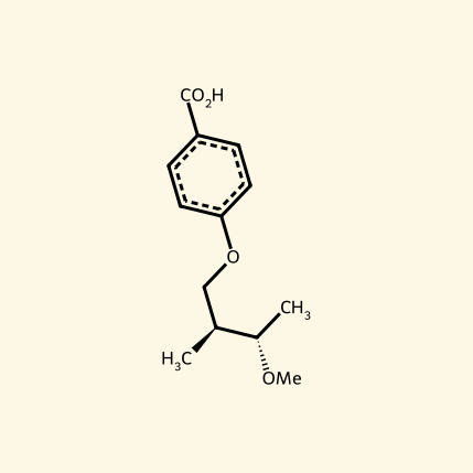 CO[C@@H](C)[C@@H](C)COc1ccc(C(=O)O)cc1